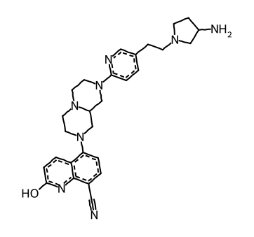 N#Cc1ccc(N2CCN3CCN(c4ccc(CCN5CCC(N)C5)cn4)CC3C2)c2ccc(O)nc12